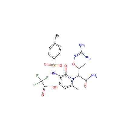 Cc1ccc(NS(=O)(=O)c2ccc(C(C)C)cc2)c(=O)n1C(C(N)=O)C(C)ON=C(N)N.O=C(O)C(F)(F)F